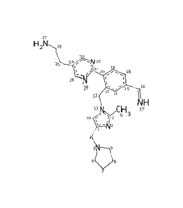 Cc1nc(CN2CCCC2)cn1Cc1cc(C=N)ccc1-c1ncc(CCN)cn1